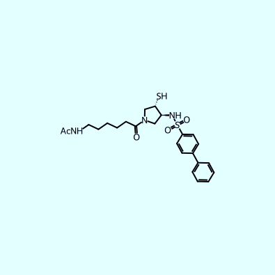 CC(=O)NCCCCCC(=O)N1C[C@H](NS(=O)(=O)c2ccc(-c3ccccc3)cc2)[C@@H](S)C1